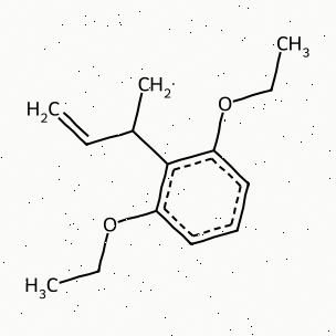 [CH2]C(C=C)c1c(OCC)cccc1OCC